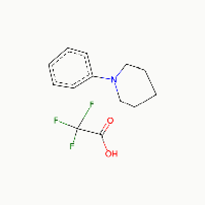 O=C(O)C(F)(F)F.c1ccc(N2CCCCC2)cc1